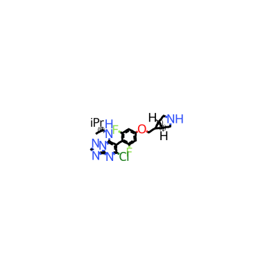 CC(C)[C@@H](C)Nc1c(-c2c(F)cc(OCC3[C@H]4CNC[C@@H]34)cc2F)c(Cl)nc2ncnn12